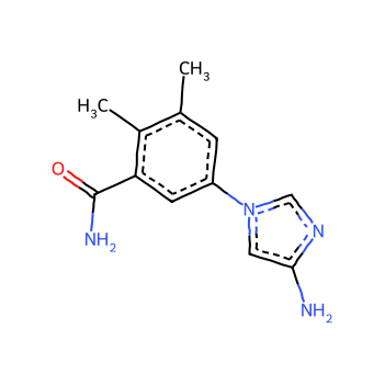 Cc1cc(-n2cnc(N)c2)cc(C(N)=O)c1C